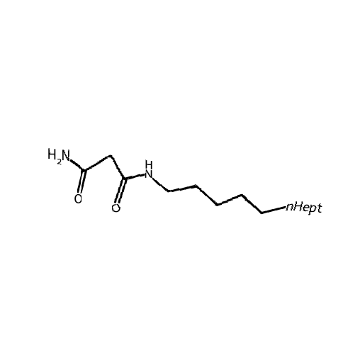 CCCCCCCCCCCCNC(=O)CC(N)=O